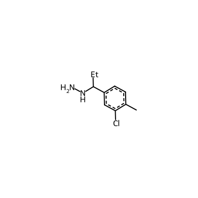 CCC(NN)c1ccc(C)c(Cl)c1